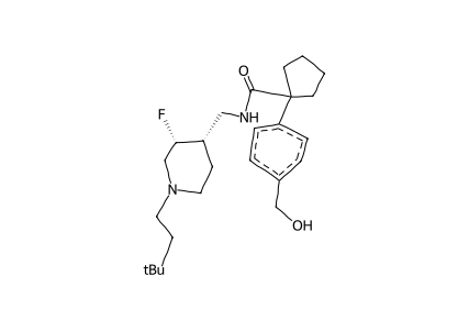 CC(C)(C)CCN1CC[C@@H](CNC(=O)C2(c3ccc(CO)cc3)CCCC2)[C@@H](F)C1